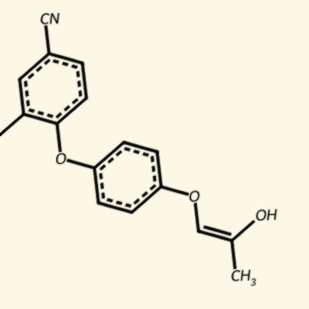 CC(O)=COc1ccc(Oc2ccc(C#N)cc2F)cc1